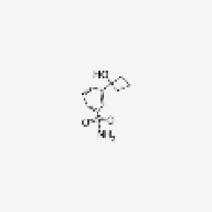 NS(=O)(=O)c1cccc(C2(O)CCC2)c1